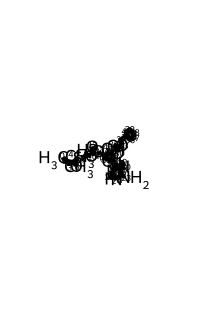 CCC(C)(C)C(=O)SCCO[PH](=O)OC[C@H]1O[C@@H](n2cnc3c(N)nc(F)nc32)[C@@H](OC(=O)OCc2ccccc2)[C@@H]1O